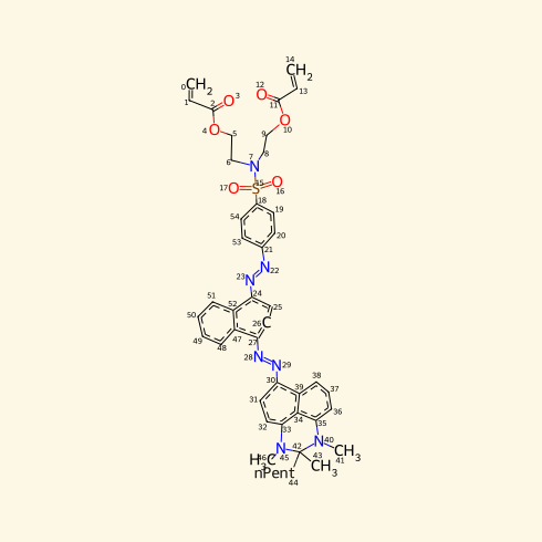 C=CC(=O)OCCN(CCOC(=O)C=C)S(=O)(=O)c1ccc(/N=N/c2ccc(/N=N/c3ccc4c5c(cccc35)N(C)C(C)(CCCCC)N4C)c3ccccc23)cc1